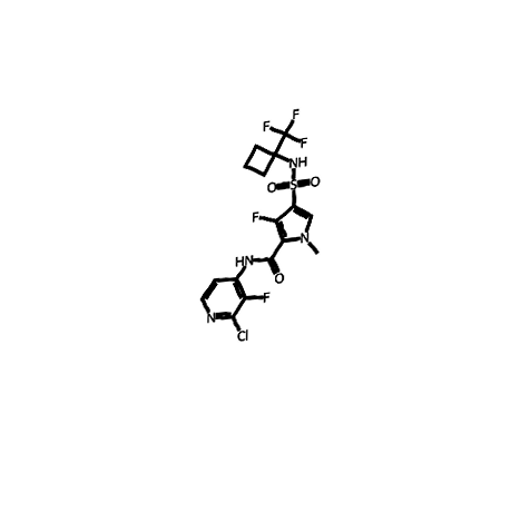 Cn1cc(S(=O)(=O)NC2(C(F)(F)F)CCC2)c(F)c1C(=O)Nc1ccnc(Cl)c1F